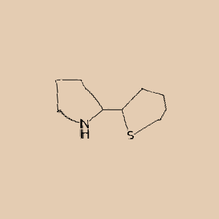 C1CNC(C2CCCS2)C1